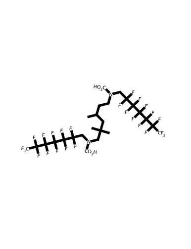 CC(CCN(CC(F)(F)C(F)(F)C(F)(F)C(F)(F)C(F)(F)C(F)(F)F)C(=O)O)CC(C)(C)CN(CC(F)(F)C(F)(F)C(F)(F)C(F)(F)C(F)(F)C(F)(F)F)C(=O)O